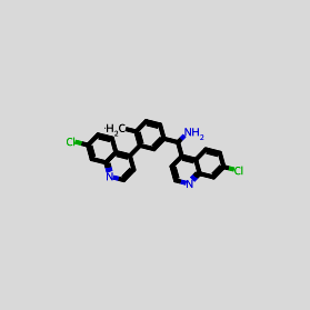 [CH2]c1ccc(C(N)c2ccnc3cc(Cl)ccc23)cc1-c1ccnc2cc(Cl)ccc12